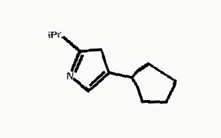 CC(C)C1=NC=C(C2CCCC2)C1